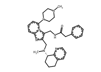 CN1CCN(c2cccc3nc(CN(C)[C@H]4CCCc5cccnc54)c(CNC(=O)Cc4ccccc4)n23)CC1